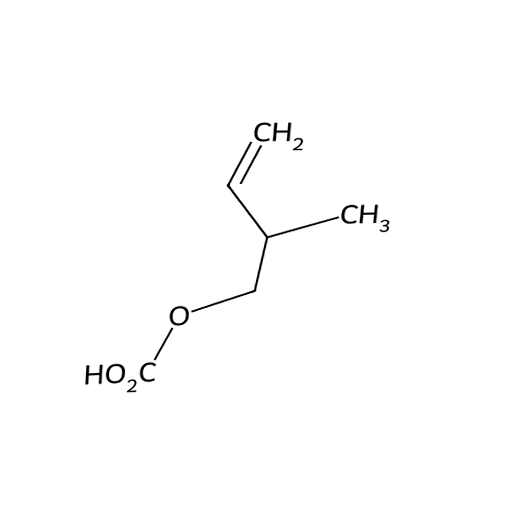 C=CC(C)COC(=O)O